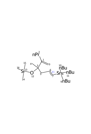 C=C(CCC)C(C)(C/C=[CH]/[Sn]([CH2]CCC)([CH2]CCC)[CH2]CCC)O[Si](C)(C)C